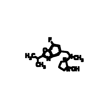 CC(C)c1nc2cc(CN(C)[C@@H]3CCC[C@@H]3O)cc(F)c2o1